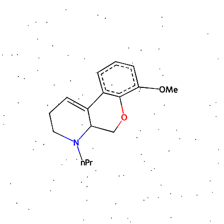 CCCN1CCC=C2c3cccc(OC)c3OCC21